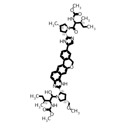 CC[C@H](C)C(NC(=O)OC)C(=O)N1C[C@@H](C)C[C@H]1c1ncc(-c2ccc3c(c2)COc2cc4c(ccc5nc([C@@H]6C[C@H](COC)CN6C(O)C(NC(=O)OC)[C@@H](C)CC)[nH]c54)cc2-3)[nH]1